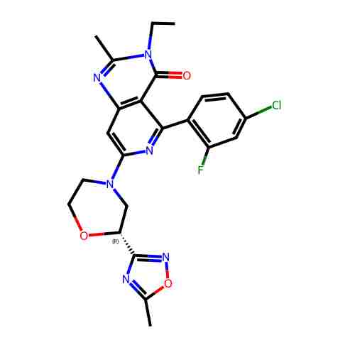 CCn1c(C)nc2cc(N3CCO[C@@H](c4noc(C)n4)C3)nc(-c3ccc(Cl)cc3F)c2c1=O